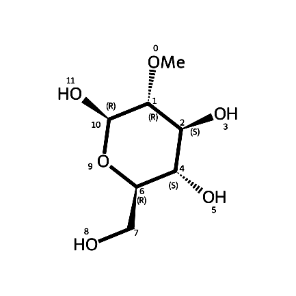 CO[C@@H]1[C@@H](O)[C@H](O)[C@@H](CO)O[C@H]1O